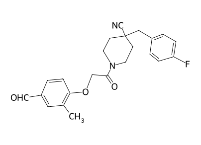 Cc1cc(C=O)ccc1OCC(=O)N1CCC(C#N)(Cc2ccc(F)cc2)CC1